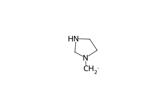 [CH2]N1CCNC1